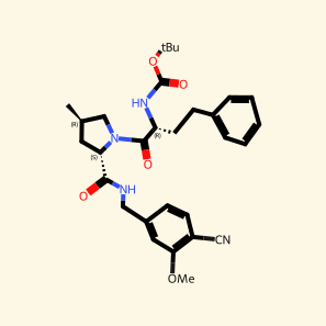 COc1cc(CNC(=O)[C@@H]2C[C@@H](C)CN2C(=O)[C@@H](CCc2ccccc2)NC(=O)OC(C)(C)C)ccc1C#N